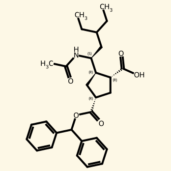 CCC(CC)C[C@H](NC(C)=O)[C@@H]1C[C@@H](C(=O)OC(c2ccccc2)c2ccccc2)C[C@H]1C(=O)O